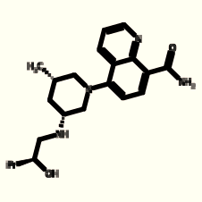 CC(C)[C@H](O)CN[C@@H]1C[C@H](C)CN(c2ccc(C(N)=O)c3ncccc23)C1